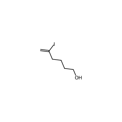 C=C(I)CCCCO